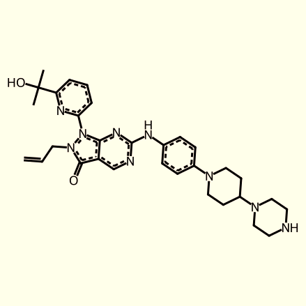 C=CCn1c(=O)c2cnc(Nc3ccc(N4CCC(N5CCNCC5)CC4)cc3)nc2n1-c1cccc(C(C)(C)O)n1